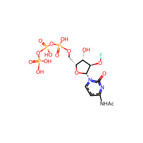 CC(=O)Nc1ccn([C@@H]2O[C@H](COP(=O)(O)OP(=O)(O)OP(=O)(O)O)[C@H](O)[C@H]2OF)c(=O)n1